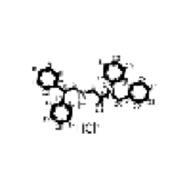 Cl.O=C(CNCC(c1ccccc1)c1ccccc1)N(Cc1ccccc1)c1ccccc1